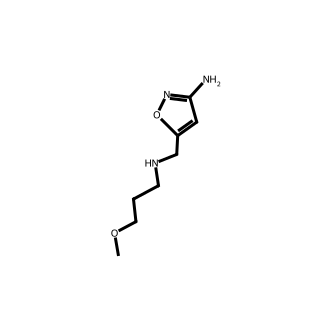 COCCCNCc1cc(N)no1